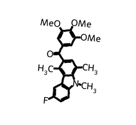 COc1cc(C(=O)c2cc(C)c3c(c2C)c2cc(F)ccc2n3C)cc(OC)c1OC